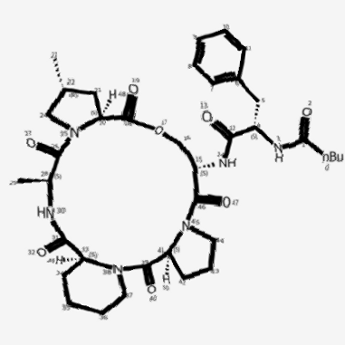 CCCCC(=O)N[C@@H](Cc1ccccc1)C(=O)N[C@H]1COC(=O)[C@@H]2C[C@@H](C)CN2C(=O)[C@H](C)NC(=O)[C@@H]2CCCCN2C(=O)[C@@H]2CCCN2C1=O